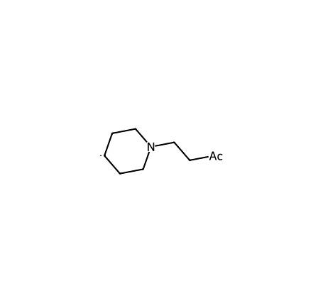 CC(=O)CCN1CC[CH]CC1